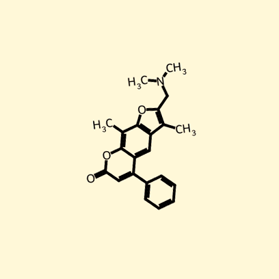 Cc1c(CN(C)C)oc2c(C)c3oc(=O)cc(-c4ccccc4)c3cc12